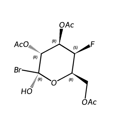 CC(=O)OC[C@H]1O[C@@](O)(Br)[C@H](OC(C)=O)[C@@H](OC(C)=O)[C@H]1F